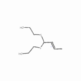 C/C=C/C(SCCO)SCCO